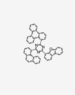 c1ccc2c(c1)ccc1cccc(-c3nc(-c4cccc5c4oc4ccccc45)nc(-c4cccc5c6ccccc6c6ccccc6c45)n3)c12